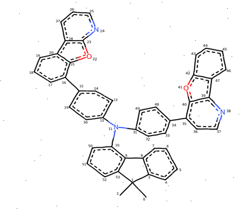 CC1(C)c2ccccc2-c2c(N(c3ccc(-c4cccc5c4oc4ncccc45)cc3)c3ccc(-c4ccnc5c4oc4ccccc45)cc3)cccc21